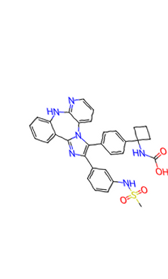 CS(=O)(=O)Nc1cccc(-c2nc3n(c2-c2ccc(C4(NC(=O)O)CCC4)cc2)-c2cccnc2Nc2ccccc2-3)c1